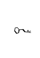 CC(=O)/C=C/C1=CC=CCC1